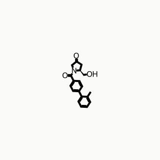 Cc1ccccc1-c1ccc(C(=O)N2CC(=O)C[C@H]2CO)cc1